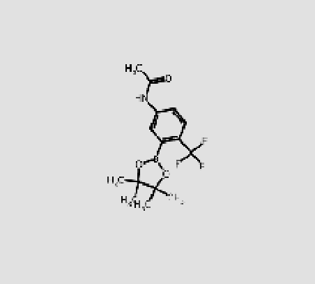 CC(=O)Nc1ccc(C(F)(F)F)c(B2OC(C)(C)C(C)(C)O2)c1